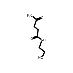 O=C(CCC(=O)C(F)(F)F)NCCO